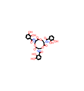 O=C(NC1COC(=O)[C@@H](NC(=O)c2cccc(O)c2O)COC(=O)[C@@H](NC(=O)c2cccc(O)c2O)COC1=O)c1cccc(O)c1O